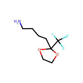 NCCCCC1(C(F)(F)F)OCCO1